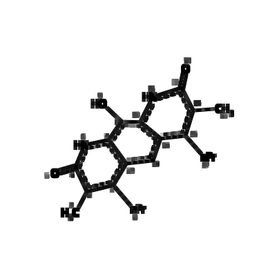 CCCc1c(C)c(=O)[nH]c2c(O)c3[nH]c(=O)c(C)c(CCC)c3cc12